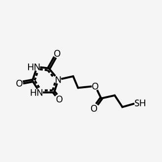 O=C(CCS)OCCn1c(=O)[nH]c(=O)[nH]c1=O